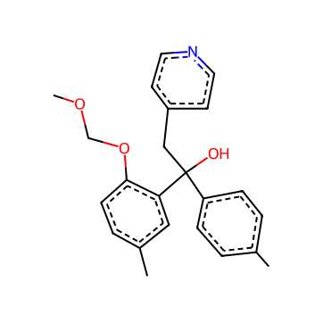 COCOc1ccc(C)cc1C(O)(Cc1ccncc1)c1ccc(C)cc1